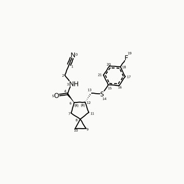 N#CCNC(=O)[C@@H]1CC2(CC2)C[C@H]1CSc1ccc(F)cc1